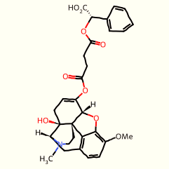 COc1ccc2c3c1O[C@H]1C(OC(=O)CCC(=O)O[C@H](C(=O)O)c4ccccc4)=CC[C@@]4(O)[C@@H](C2)N(C)CC[C@]314